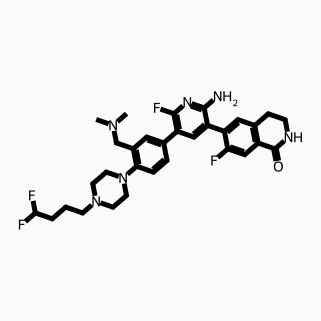 CN(C)Cc1cc(-c2cc(-c3cc4c(cc3F)C(=O)NCC4)c(N)nc2F)ccc1N1CCN(CCCC(F)F)CC1